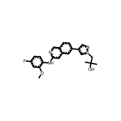 COc1cc(F)ccc1Nc1cc2cc(-c3cnn(CC(C)(C)O)c3)ccc2cn1